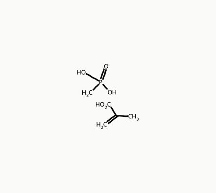 C=C(C)C(=O)O.CP(=O)(O)O